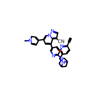 C#Cc1ccc(CN2C3CC2CN(c2ccc(-c4cc(C5=CCN(C)C=C5)cn5ncc(C#N)c45)cn2)C3)cn1